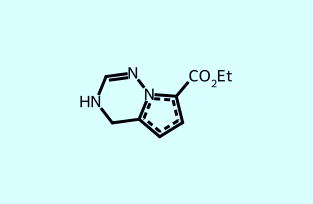 CCOC(=O)c1ccc2n1N=CNC2